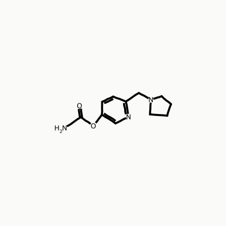 NC(=O)Oc1ccc(CN2CCCC2)nc1